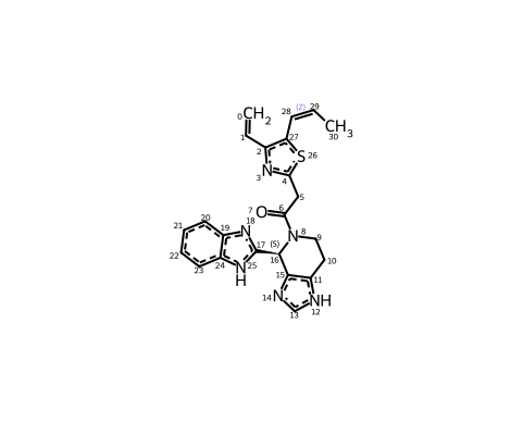 C=Cc1nc(CC(=O)N2CCc3[nH]cnc3[C@H]2c2nc3ccccc3[nH]2)sc1/C=C\C